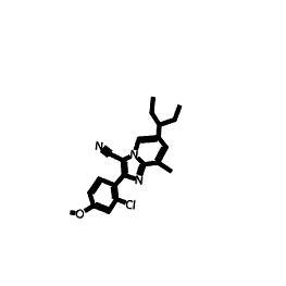 CCC(CC)c1cc(C)c2nc(-c3ccc(OC)cc3Cl)c(C#N)n2c1